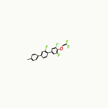 Cc1ccc(-c2ccc(-c3cc(F)c(OC=C(F)F)c(F)c3)c(F)c2)cc1